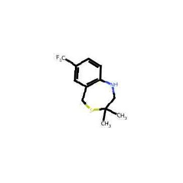 CC1(C)CNc2ccc(C(F)(F)F)cc2CS1